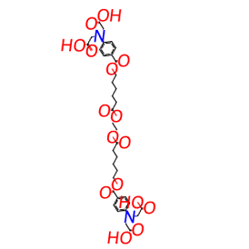 O=C(O)CN(CC(=O)O)c1ccc(C(=O)OCCCCCC(=O)OCCOC(=O)CCCCCOC(=O)c2ccc(N(CC(=O)O)CC(=O)O)cc2)cc1